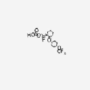 O=S(O)OC[C@@H](F)[C@H]1CCCC[C@@H]1Oc1ccc(OC(F)(F)F)cc1